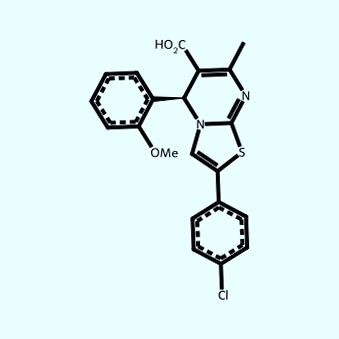 COc1ccccc1[C@H]1C(C(=O)O)=C(C)N=C2SC(c3ccc(Cl)cc3)=CN21